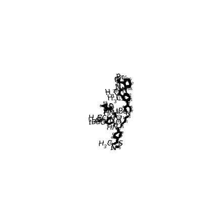 Cc1ncsc1-c1ccc([C@H](CCCCCN2CCC(c3ccc4c(c3)C(C)(C)c3nc(=O)c5c(Br)cccc5n3-4)CC2)NC(=O)[C@@H]2C[C@@H](O[Si](C)(C)C(C)(C)C)CN2C(=O)[C@@H](NC(=O)C2(F)CC2)C(C)(C)C)cc1